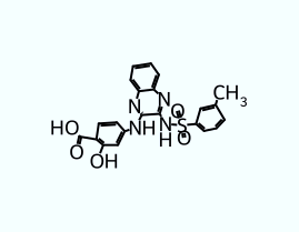 Cc1cccc(S(=O)(=O)Nc2nc3ccccc3nc2Nc2ccc(C(=O)O)c(O)c2)c1